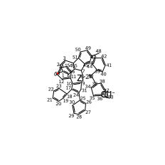 Cc1ccc2c(c1)[CH]([Zr+2]([C]1=C(c3ccccc3)C(c3ccccc3)=C(c3ccccc3)C1)=[C](c1ccccc1)c1ccccc1)c1cc(C)ccc1-2.[Cl-].[Cl-]